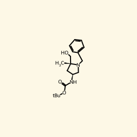 CC(C)(C)OC(=O)N[C@@H]1CN(Cc2ccccc2)[C@@](C)(CO)C1